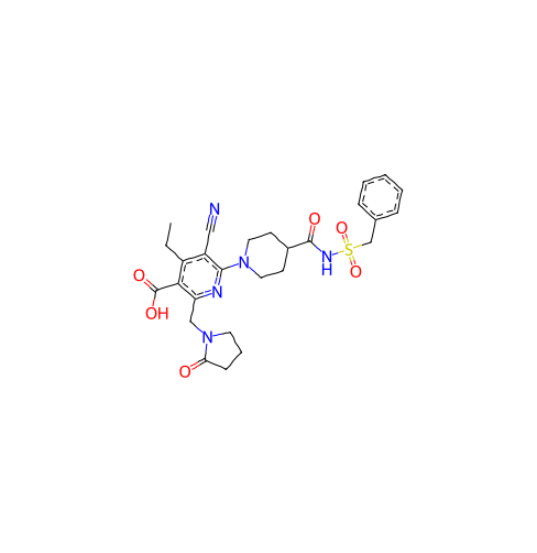 CCc1c(C#N)c(N2CCC(C(=O)NS(=O)(=O)Cc3ccccc3)CC2)nc(CN2CCCC2=O)c1C(=O)O